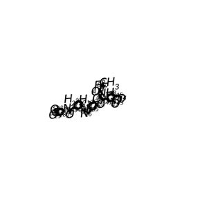 C[C@H](NC(=O)C(C)(F)F)[C@H](Oc1ccc2c(cnn2-c2cccc(C(=O)NC3CCS(=O)(=O)C3)c2)c1)c1ccc2c(c1)OCOC2